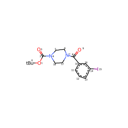 CC(C)(C)OC(=O)N1CCN(C(=O)c2cccc(I)c2)CC1